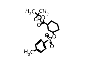 Cc1ccc(S(=O)(=O)OC2CCCC(C(=O)OC(C)(C)C)C2)cc1